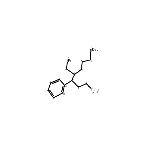 CCCCCCCCCCCCCC(CC(C)C)C(CCC(=O)O)c1ccccc1